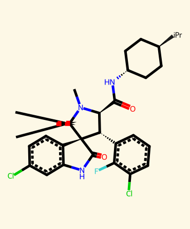 CC(C)[C@H]1CC[C@H](NC(=O)[C@H]2[C@H](c3cccc(Cl)c3F)[C@]3(C(=O)Nc4cc(Cl)ccc43)C3(CCC(C)(C)CC3)N2C)CC1